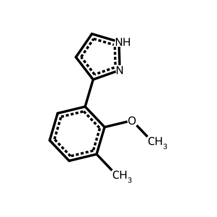 COc1c(C)cccc1-c1cc[nH]n1